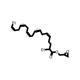 CC/C=C\C/C=C\C/C=C\C/C=C\C/C=C\CCC(CC)C(=O)OCC1CO1